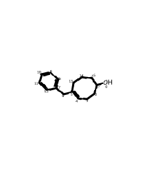 OC1CCC=C(Cc2ccccc2)CCC1